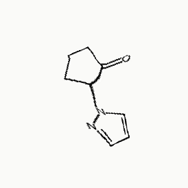 O=C1CCCC1n1cccn1